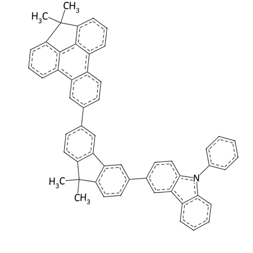 CC1(C)c2ccc(-c3ccc4c(c3)c3cccc5c3c3c(cccc43)C5(C)C)cc2-c2cc(-c3ccc4c(c3)c3ccccc3n4-c3ccccc3)ccc21